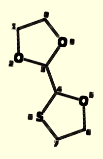 C1COC(C2OCCS2)O1